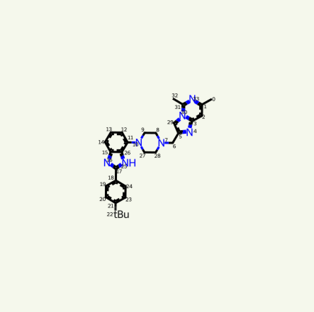 Cc1cc2nc(CN3CCN(c4cccc5nc(-c6ccc(C(C)(C)C)cc6)[nH]c45)CC3)cn2c(C)n1